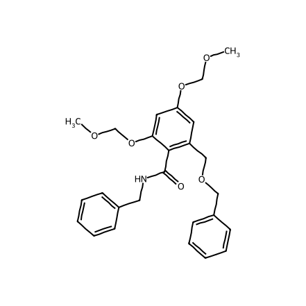 COCOc1cc(COCc2ccccc2)c(C(=O)NCc2ccccc2)c(OCOC)c1